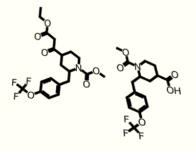 CCOC(=O)CC(=O)C1CCN(C(=O)OC)C(Cc2ccc(OC(F)(F)F)cc2)C1.COC(=O)N1CCC(C(=O)O)CC1Cc1ccc(OC(F)(F)F)cc1